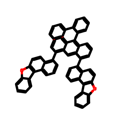 c1ccc(-c2ccccc2-c2c3cccc(-c4cccc5c4ccc4oc6ccccc6c45)c3cc3c(-c4cccc5c4ccc4oc6ccccc6c45)cccc23)cc1